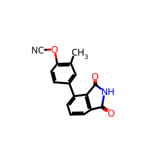 Cc1cc(-c2cccc3c2C(=O)NC3=O)ccc1OC#N